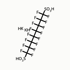 O=S(=O)(O)C(F)(F)C(F)(F)C(F)(F)C(F)(F)C(F)(F)C(F)(F)C(F)(F)C(F)(F)S(=O)(=O)O.[KH].[KH]